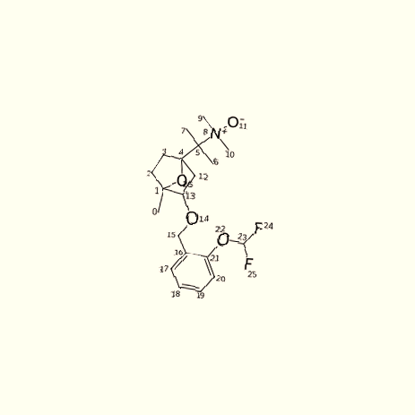 CC12CCC(C(C)(C)[N+](C)(C)[O-])(CC1OCc1ccccc1OC(F)F)O2